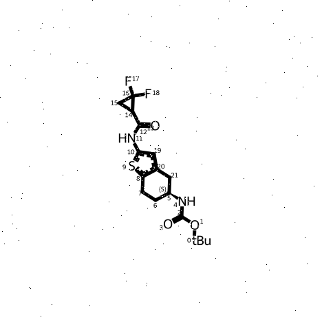 CC(C)(C)OC(=O)N[C@H]1CCc2sc(NC(=O)C3CC3(F)F)cc2C1